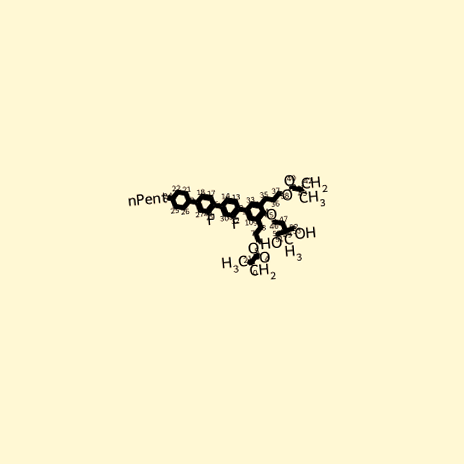 C=C(C)C(=O)OCCCc1cc(-c2ccc(-c3ccc(C4CCC(CCCCC)CC4)cc3F)cc2F)cc(CCCOC(=O)C(=C)C)c1OCCC(C)(CO)CO